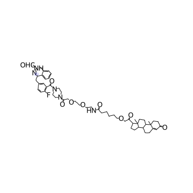 Cc1ccccc1/C(Cc1ccc(F)c(C(=O)N2CCN(C(=O)COCCOCCNC(=O)CCCCCOCC(=O)C3CCC4C5CCC6=CC(=O)CCC6(C)C5CCC34C)CC2)c1)=N\NC=O